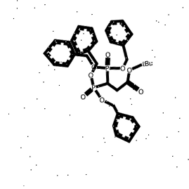 CC(C)(C)OC(=O)CC(P(=O)(OCc1ccccc1)OCc1ccccc1)P(=O)(OCc1ccccc1)OCc1ccccc1